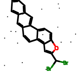 BrC(Br)c1cc2c(ccc3c4cc5ccccc5cc4ccc23)o1